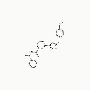 COc1ccc(Cn2nnc(-c3cccc(C(=O)NC(C)c4ccccc4)c3)n2)cc1